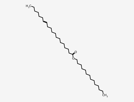 CCCCCCC=CCCCCCCCCCCCC(=O)OCCCCCCCCCCCCCC